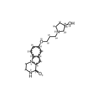 O=C1NCCn2c1cc1cc(OCCCN3CC[C@@H](O)C3)ccc12